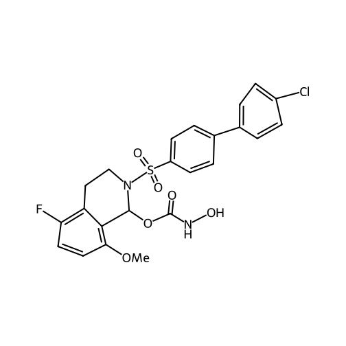 COc1ccc(F)c2c1C(OC(=O)NO)N(S(=O)(=O)c1ccc(-c3ccc(Cl)cc3)cc1)CC2